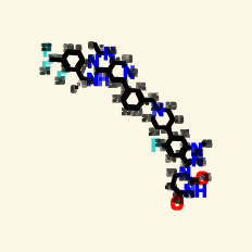 Cc1nc(N[C@H](C)c2cccc(C(F)F)c2F)c2cc(-c3cccc(CN4CCC(c5cc6c(cc5F)c(N5CCC(=O)NC5=O)nn6C)CC4)c3)ncc2n1